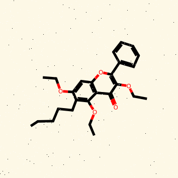 CCCCCc1c(OCC)cc2oc(-c3ccccc3)c(OCC)c(=O)c2c1OCC